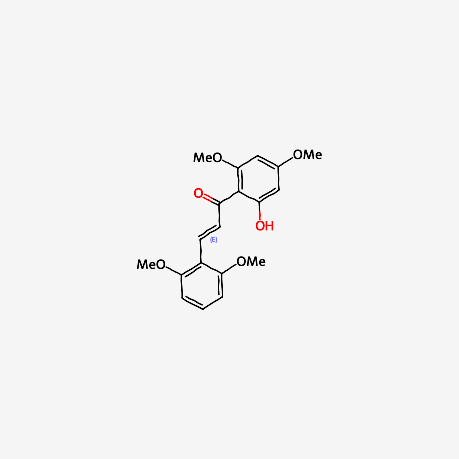 COc1cc(O)c(C(=O)/C=C/c2c(OC)cccc2OC)c(OC)c1